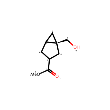 COC(=O)C1CC2C[C@]2(CO)C1